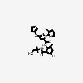 Cc1cc(Cl)cc(C(=O)NC(C)(C)CO)c1NC(=O)c1cc(Oc2ccsc2)nn1-c1ncccc1Cl